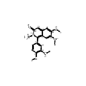 COc1ccc(-c2c3cc(OC)c(OC)cc3cc(=O)n2N)cc1OC